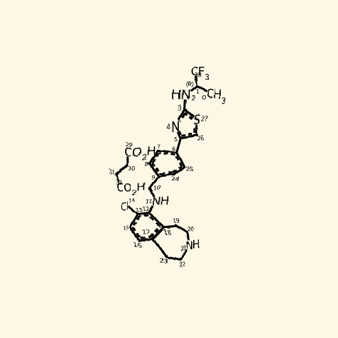 C[C@@H](Nc1nc(-c2ccc(CNc3c(Cl)ccc4c3CCNCC4)cc2)cs1)C(F)(F)F.O=C(O)CCC(=O)O